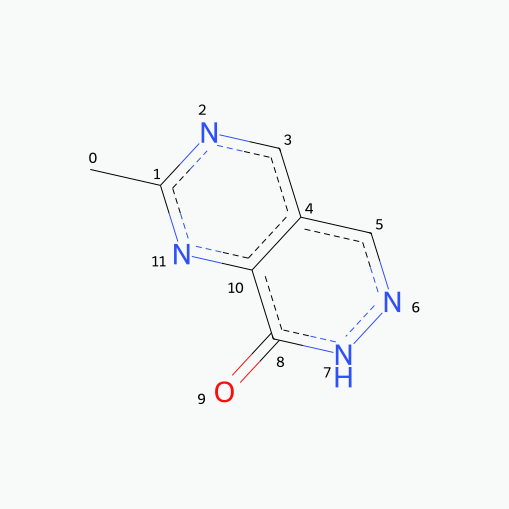 Cc1ncc2cn[nH]c(=O)c2n1